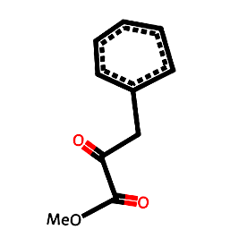 COC(=O)C(=O)Cc1ccccc1